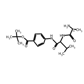 CC(C)C(NC(=O)[C@H](C)N)C(=O)Nc1ccc(C(=O)OC(C)(C)C)cc1